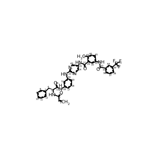 C=CC(=O)N[C@@H](Cc1ccccc1)C(=O)Nc1cccc(Nc2ncc(NC(=O)c3cc(NC(=O)c4cccc(C(F)(F)F)c4)ccc3C)cn2)c1